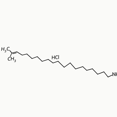 CC(C)=CCCCCCCCCCCCCCCCCCN.Cl